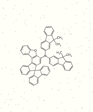 CC1(C)c2ccccc2-c2ccc(N(c3ccc4c(c3)C(C)(C)c3ccccc3-4)c3cc4c(c5c3oc3ccccc35)-c3ccccc3C43c4ccccc4-c4ccccc43)cc21